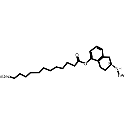 CCCCCCCCCCCCCCCCCCCCCC(=O)Oc1cccc2c1CC[C@H](NCCC)C2